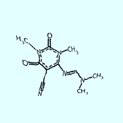 CN(C)C=Nc1c(C#N)c(=O)n(C)c(=O)n1C